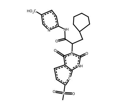 CS(=O)(=O)c1ccc2c(=O)n(C(CC3CCCCC3)C(=O)Nc3ccc(C(=O)O)cn3)c(=O)[nH]c2c1